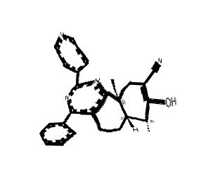 C[C@H]1C(O)=C(C#N)C[C@@]2(C)c3nc(-c4ccncc4)nc(-c4ccccc4)c3CC[C@@H]12